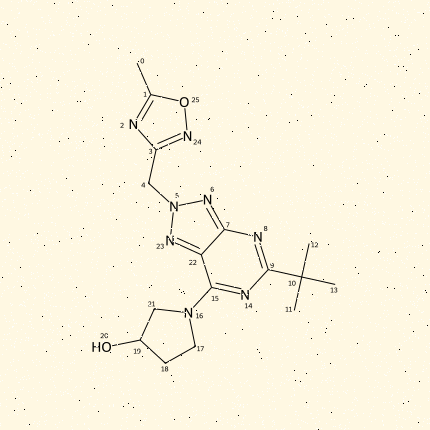 Cc1nc(Cn2nc3nc(C(C)(C)C)nc(N4CCC(O)C4)c3n2)no1